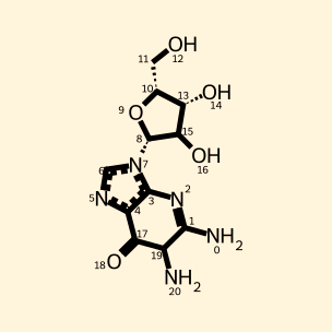 NC1=Nc2c(ncn2[C@@H]2O[C@H](CO)[C@H](O)C2O)C(=O)C1N